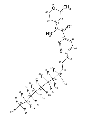 CC1CN(C(C)C(=O)c2ccc(SCCC(F)(F)C(F)(F)C(F)(F)C(F)(F)C(F)(F)C(F)(F)C(F)(F)C(F)(F)F)cc2)CCO1